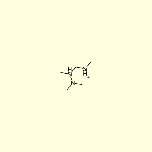 C[SiH2]C[SiH](C)N(C)C